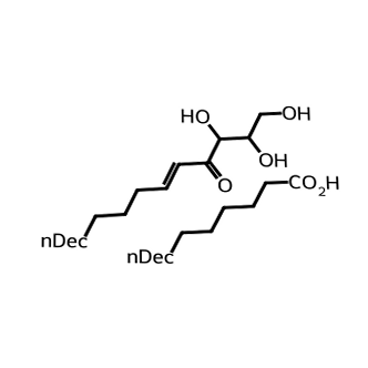 CCCCCCCCCCCCCC=CC(=O)C(O)C(O)CO.CCCCCCCCCCCCCCCC(=O)O